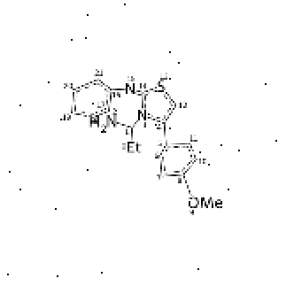 CCC(N)n1c(-c2ccc(OC)cc2)cs/c1=N/c1ccccc1